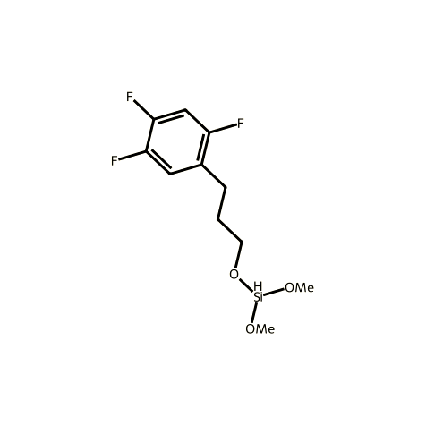 CO[SiH](OC)OCCCc1cc(F)c(F)cc1F